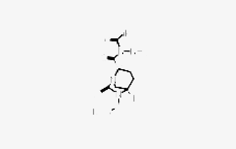 CC(C)C(=O)N(N)C(=O)[C@H]1CC[C@H]2CN1C(=O)N2OS(=O)(=O)O